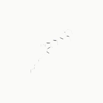 CCCCCCCOC(=O)c1nc(/C=C(\C)C=CC2=C(C)CCCC2(C)C)c[nH]1